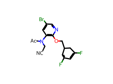 CC(=O)N(CC#N)c1cc(Br)cnc1OCC1C=C(F)C=C(F)C1